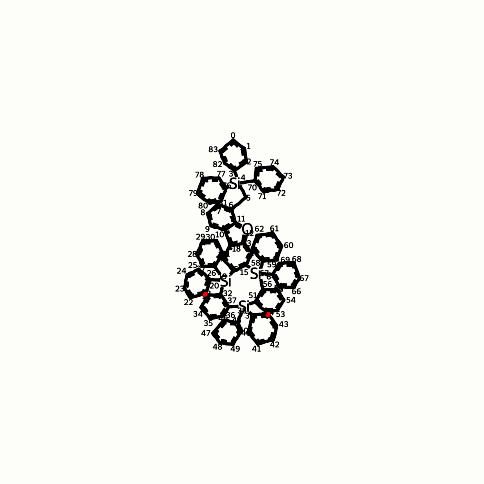 c1ccc([Si](Cc2cccc3c2oc2cc4c(cc23)[Si](c2ccccc2)(c2ccccc2)c2ccccc2[Si](c2ccccc2)(c2ccccc2)c2ccccc2[Si]4(c2ccccc2)c2ccccc2)(c2ccccc2)c2ccccc2)cc1